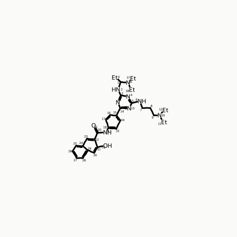 CCC(Nc1nc(NCCCN(CC)CC)nc(-c2ccc(NC(=O)c3cc4ccccc4cc3O)cc2)n1)N(CC)CC